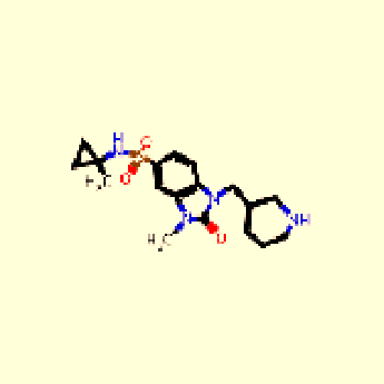 Cn1c(=O)n(CC2CCCNC2)c2ccc(S(=O)(=O)NC3(C)CC3)cc21